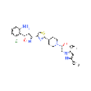 Cc1cc(C)n(CC(=O)N2CCC(c3nc(C4=NOC(c5c(N)cccc5Cl)C4)cs3)CC2)n1